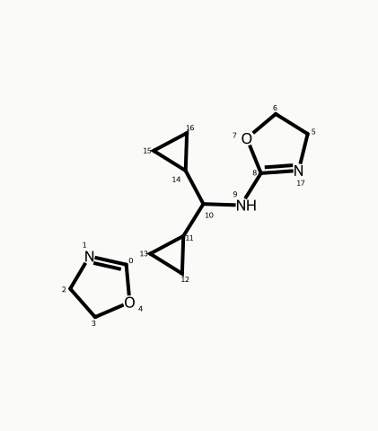 C1=NCCO1.C1COC(NC(C2CC2)C2CC2)=N1